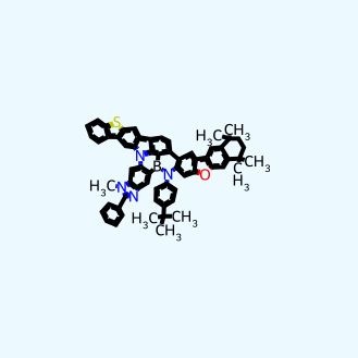 Cn1c(-c2ccccc2)nc2cc3c(cc21)-n1c2cc4c(cc2c2ccc5c(c21)B3N(c1ccc(C(C)(C)C)cc1)c1cc2oc3cc6c(cc3c2cc1-5)C(C)(C)CCC6(C)C)sc1ccccc14